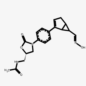 CC(=O)NC[C@H]1CN(c2ccc(C3=CCC4C(C=NO)C34)cc2)C(=O)O1